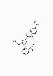 Cc1c(C(=O)Nc2ccc([S+](C)[O-])cc2)cn(CC2CC2)c1-c1ccccc1C(F)(F)F